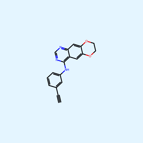 C#Cc1cccc(Nc2ncnc3cc4c(cc23)OCCO4)c1